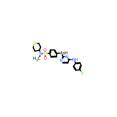 CN(C1CCSCC1)S(=O)(=O)c1ccc([AsH]c2nccc(Nc3ccc(F)cc3)n2)cc1